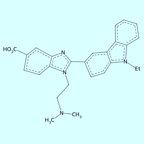 CCn1c2ccccc2c2cc(-c3nc4cc(C(=O)O)ccc4n3CCN(C)C)ccc21